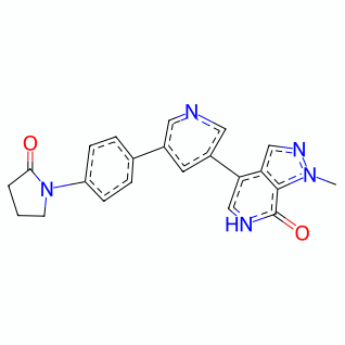 Cn1ncc2c(-c3cncc(-c4ccc(N5CCCC5=O)cc4)c3)c[nH]c(=O)c21